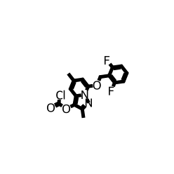 Cc1cc(OCc2c(F)cccc2F)n2nc(C)c(OC(=O)Cl)c2c1